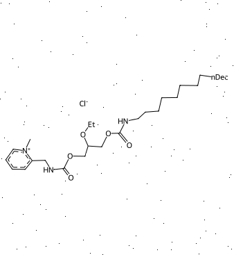 CCCCCCCCCCCCCCCCCCNC(=O)OCC(COC(=O)NCc1cccc[n+]1C)OCC.[Cl-]